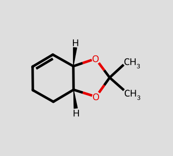 CC1(C)O[C@H]2C=CCC[C@H]2O1